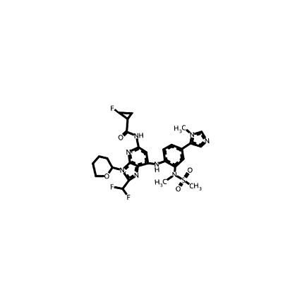 CN(c1cc(-c2cncn2C)ccc1Nc1cc(NC(=O)C2C[C@@H]2F)nc2c1nc(C(F)F)n2C1CCCCO1)S(C)(=O)=O